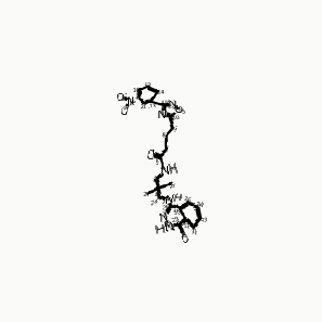 CC(C)(CNC(=O)CCCc1nc(-c2cccc([N+](=O)[O-])c2)no1)CNc1n[nH]c(=O)c2ccccc12